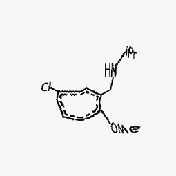 COc1ccc(Cl)cc1CNC(C)C